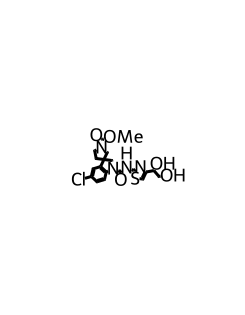 COC(=O)N1CCC2(C1)CN(C(=O)Nc1nc(C(O)CO)cs1)c1ccc(Cl)cc12